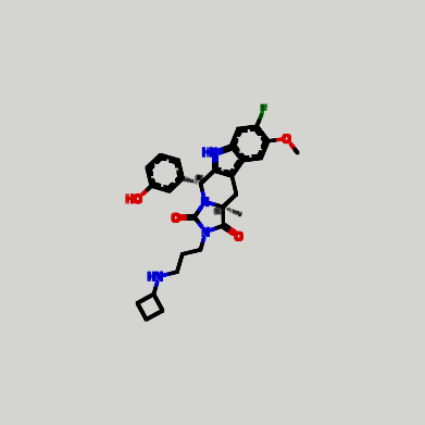 COc1cc2c3c([nH]c2cc1F)[C@@H](c1cccc(O)c1)N1C(=O)N(CCCNC2CCC2)C(=O)[C@]1(C)C3